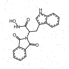 O=C(NO)C(Cc1c[nH]c2ccccc12)N1C(=O)c2ccccc2C1=O